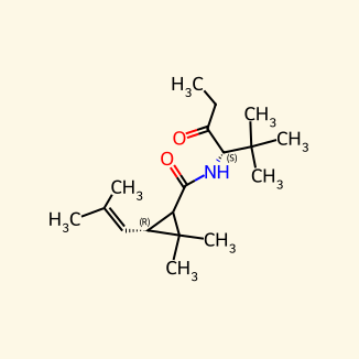 CCC(=O)[C@@H](NC(=O)C1[C@@H](C=C(C)C)C1(C)C)C(C)(C)C